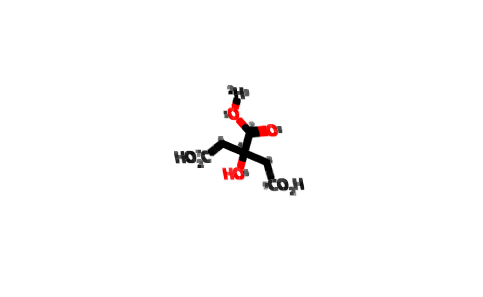 [2H]OC(=O)C(O)(CC(=O)O)CC(=O)O